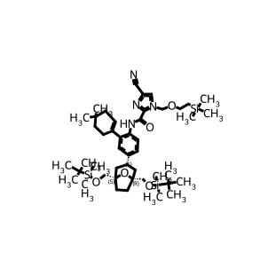 CC1(C)CC=C(c2cc([C@@H]3C[C@@]4(CO[Si](C)(C)C(C)(C)C)CC[C@@](CO[Si](C)(C)C(C)(C)C)(C3)O4)ccc2NC(=O)c2nc(C#N)cn2COCC[Si](C)(C)C)CC1